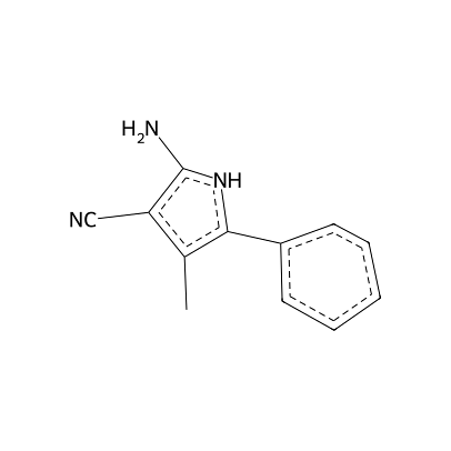 Cc1c(-c2ccccc2)[nH]c(N)c1C#N